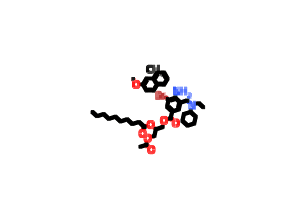 C.CCCCCCCCCC(=O)OC(COC(C)=O)COC(=O)c1cc(Br)c(N)c(CN(CC)C2CCCCC2)c1.COc1ccc2ccccc2c1